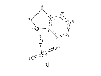 O=S(=O)(Cl)Cl.c1ccc2c(c1)CCO2